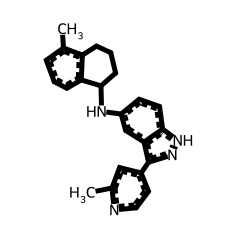 Cc1cc(-c2n[nH]c3ccc(NC4CCCc5c(C)cccc54)cc23)ccn1